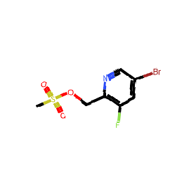 CS(=O)(=O)OCc1ncc(Br)cc1F